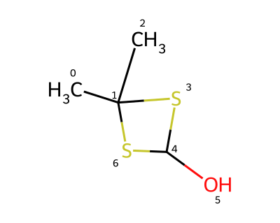 CC1(C)SC(O)S1